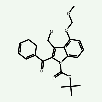 COCOc1cccc2c1c(CCl)c(C(=O)C1=CC=CCC1)n2C(=O)OC(C)(C)C